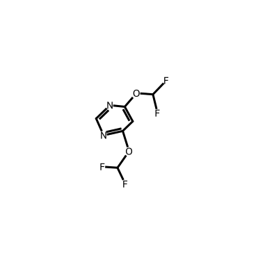 FC(F)Oc1cc(OC(F)F)ncn1